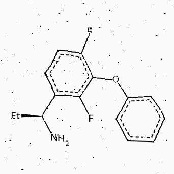 CC[C@H](N)c1ccc(F)c(Oc2ccccc2)c1F